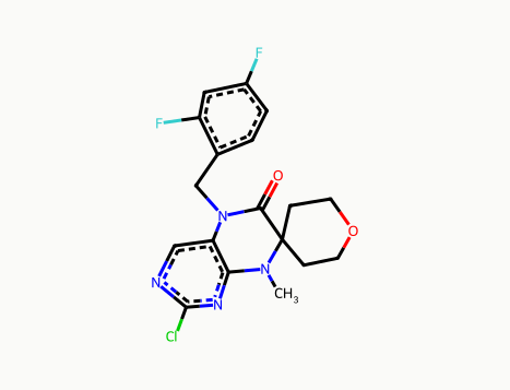 CN1c2nc(Cl)ncc2N(Cc2ccc(F)cc2F)C(=O)C12CCOCC2